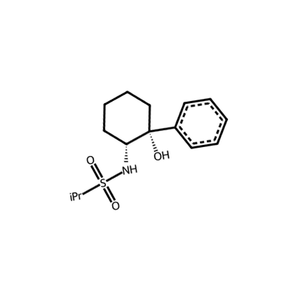 CC(C)S(=O)(=O)N[C@@H]1CCCC[C@@]1(O)c1ccccc1